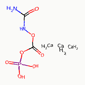 NC(=O)NOC(=O)OP(=O)(O)O.[CaH2].[CaH2].[CaH2]